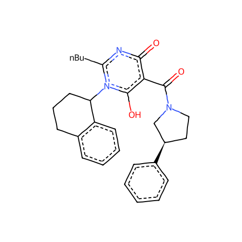 CCCCc1nc(=O)c(C(=O)N2CC[C@@H](c3ccccc3)C2)c(O)n1C1CCCc2ccccc21